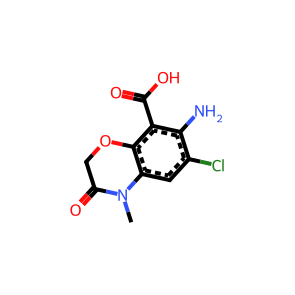 CN1C(=O)COc2c1cc(Cl)c(N)c2C(=O)O